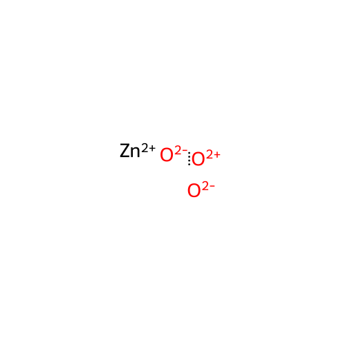 [O+2].[O-2].[O-2].[Zn+2]